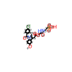 COc1ccc2c(c1)c(CC(=O)OCC(=O)NCCS(=O)(=O)O)c(C)n2C(=O)c1ccc(Cl)cc1